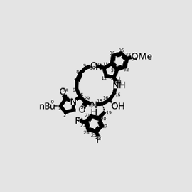 CCCC[C@H]1CCN(C2CC=CCO[C@@H]3C[C@H](NC[C@@H](O)[C@H](Cc4cc(F)cc(F)c4)NC2=O)c2cc(OC)ccc23)C1=O